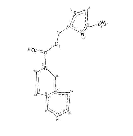 Cc1csc(COC(=O)N2C=Cc3ccccc3C2)n1